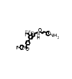 Nc1ccc(/C=C/C(=O)NCc2cc3cc(-c4ccc(C(=O)N5CCC(F)CC5)cc4)cc(C(F)(F)F)c3o2)cn1